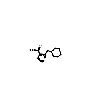 NC(=O)c1ccsc1[CH]C1CCCCC1